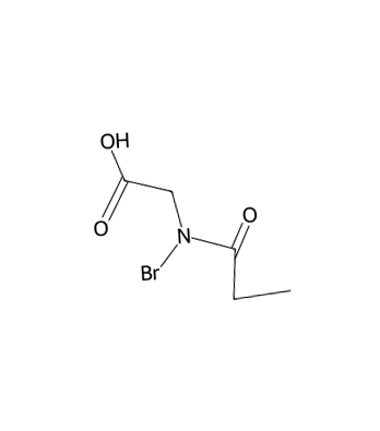 CCC(=O)N(Br)CC(=O)O